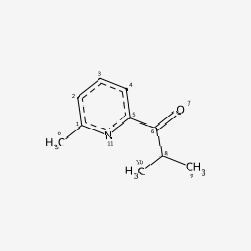 Cc1cccc(C(=O)C(C)C)n1